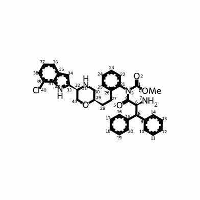 COC(=O)N(C(=O)[C@@H](N)C(c1ccccc1)c1ccccc1)c1ccccc1CC[C@@H]1CN[C@H](c2cc3cccc(Cl)c3[nH]2)CO1